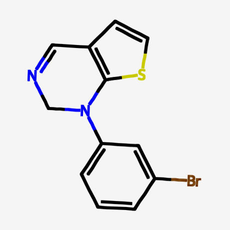 Brc1cccc(N2CN=Cc3ccsc32)c1